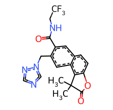 CC1(C)C(=O)Oc2ccc3cc(C(=O)NCC(F)(F)F)c(Cn4cncn4)cc3c21